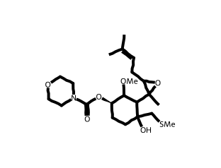 COC1C(C2(C)OC2CC=C(C)C)C(O)(CSC)CC[C@H]1OC(=O)N1CCOCC1